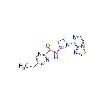 CCc1cnc(C(=O)N[C@H]2CCN(c3nccn4ccnc34)C2)nc1